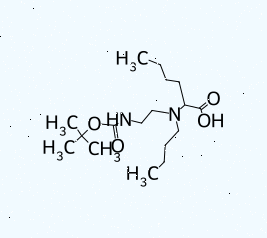 CCCCC(C(=O)O)N(CCCC)CCNC(=O)OC(C)(C)C